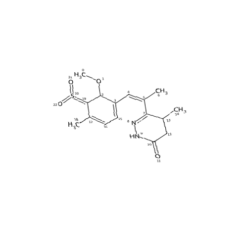 COC1C(C=C(C)C2=NNC(=O)CC2C)=CC=C(C)C1=S(=O)=O